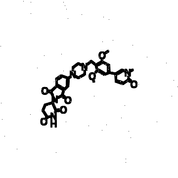 COc1cc(-c2ccc(=O)n(C)c2)cc(OC)c1CN1CCN(c2ccc3c(c2)C(=O)N(C2CCC(=O)NC2=O)C3=O)CC1